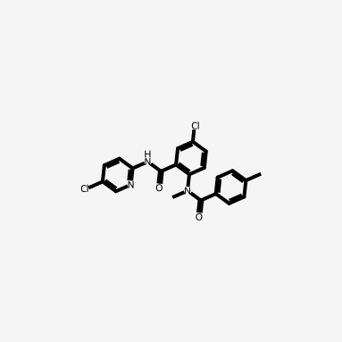 Cc1ccc(C(=O)N(C)c2ccc(Cl)cc2C(=O)Nc2ccc(Cl)cn2)cc1